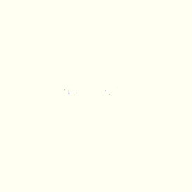 C=C(C)N1C=C(C#N)C(C)C1C